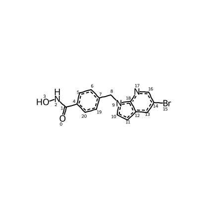 O=C(NO)c1ccc(Cn2ccc3cc(Br)cnc32)cc1